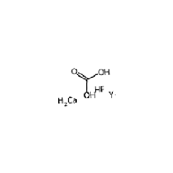 F.O=C(O)O.[CaH2].[Y]